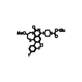 COC1CSc2c(-c3ccc(F)cc3F)c(Cl)cc3c(N4CCN(C(=O)OC(C)(C)C)CC4)nc(=O)n(c23)C1